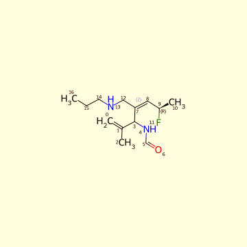 C=C(C)C(NC=O)/C(=C\[C@@H](C)F)CNCCC